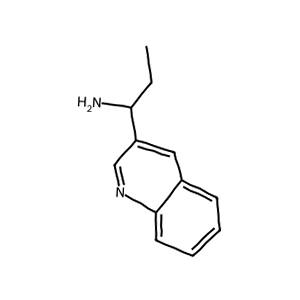 CCC(N)c1cnc2ccccc2c1